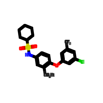 CCOC(=O)c1cc(NS(=O)(=O)C2CCCCC2)ccc1Oc1cc(Cl)cc(C(F)(F)F)c1